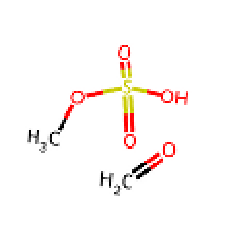 C=O.COS(=O)(=O)O